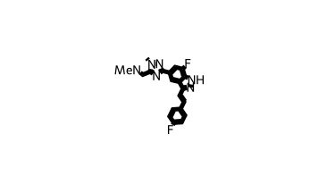 CNCc1nc(-c2cc(F)c3[nH]nc(/C=C/c4ccc(F)cc4)c3c2)nn1C